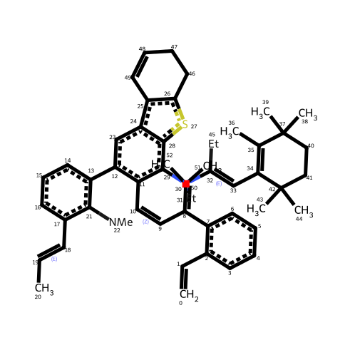 C=Cc1ccccc1C(/C=C\c1c(-c2cccc(/C=C/C)c2NC)cc2c3c(sc2c1N(CC)/C(=C/C1=C(C)C(C)(C)CCC1(C)C)CC)CCC=C3)=C(C)C